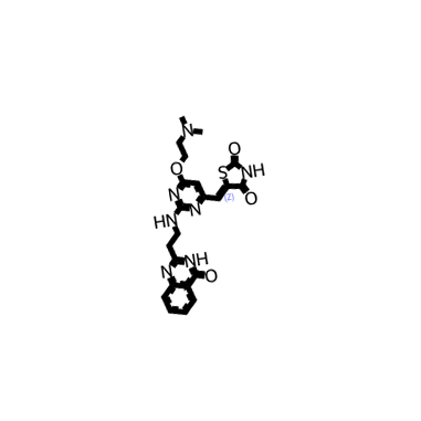 CN(C)CCOc1cc(/C=C2\SC(=O)NC2=O)nc(NCCc2nc3ccccc3c(=O)[nH]2)n1